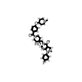 CN1CCC(Oc2ccc(C(=O)N3CCC(O)(Cn4cnc5c(cnn5-c5ccc(F)cc5)c4=O)CC3)cc2)CC1